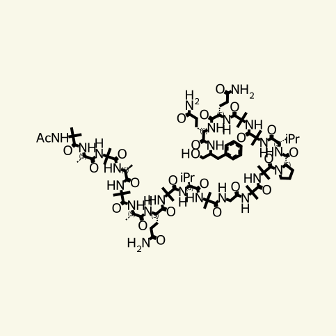 CC(=O)NC(C)(C)C(=O)N[C@@H](C)C(=O)NC(C)(C)C(=O)N[C@@H](C)C(=O)NC(C)(C)C(=O)N[C@@H](C)C(=O)N[C@@H](CCC(N)=O)C(=O)NC(C)(C)C(=O)N[C@H](C(=O)NC(C)(C)C(=O)NCC(=O)NC(C)(C)C(=O)NC(C)(C)C(=O)N1CCC[C@H]1C(=O)N[C@H](C(=O)NC(C)(C)C(=O)NC(C)(C)C(=O)N[C@@H](CCC(N)=O)C(=O)N[C@@H](CCC(N)=O)C(=O)NC(CO)Cc1ccccc1)C(C)C)C(C)C